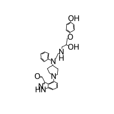 O=Cc1n[nH]c2cccc(N3CCC(N(CCNC[C@H](O)COc4ccc(O)cc4)c4ccccc4)CC3)c12